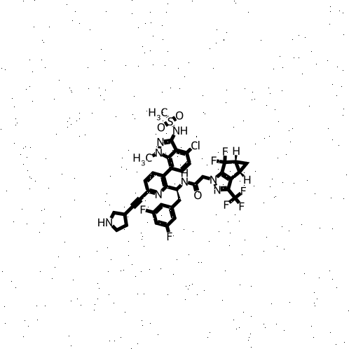 Cn1nc(NS(C)(=O)=O)c2c(Cl)ccc(-c3ccc(C#CC4CCNC4)nc3[C@H](Cc3cc(F)cc(F)c3)NC(=O)Cn3nc(C(F)(F)F)c4c3C(F)(F)[C@@H]3C[C@H]43)c21